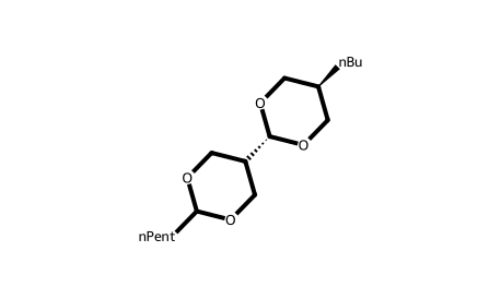 CCCCCC1OCC([C@H]2OC[C@H](CCCC)CO2)CO1